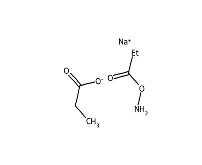 CCC(=O)ON.CCC(=O)[O-].[Na+]